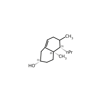 CCC[C@H]1C(C)CC=C2C[C@@H](O)CC[C@@]21C